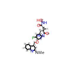 CNc1cc(COc2ccc(C[C@]3(C(N)=O)C[C@@H]3C(=O)NO)cc2F)c2ccccc2n1